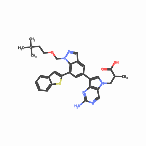 CC(Cn1cc(-c2cc(-c3cc4ccccc4s3)c3c(cnn3COCC[Si](C)(C)C)c2)c2nc(N)ncc21)C(=O)O